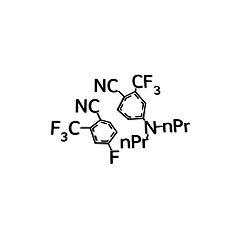 CCCN(CCC)c1ccc(C#N)c(C(F)(F)F)c1.N#Cc1ccc(F)cc1C(F)(F)F